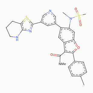 CNC(=O)c1c(-c2ccc(C)cc2)oc2cc(N(C)S(C)(=O)=O)c(-c3cncc(-c4nc5c(s4)CCCN5)c3)cc12